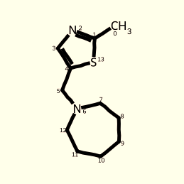 Cc1ncc(CN2CCCCCC2)s1